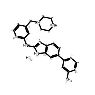 Cc1cc(-c2ccc3nc(Nc4cc(CN5CCNCC5)ccn4)[nH]c3c2)ncn1.Cl